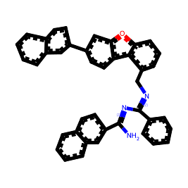 N/C(=N\C(=N/Cc1cccc2oc3cc(-c4ccc5ccccc5c4)ccc3c12)c1ccccc1)c1ccc2ccccc2c1